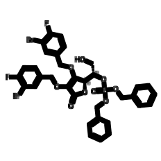 O=C1O[C@H]([C@H](CO)OP(=O)(OCc2ccccc2)OCc2ccccc2)C(OCc2ccc(F)c(Br)c2)=C1OCc1ccc(F)c(Br)c1